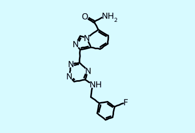 NC(=O)c1cccc2c(-c3nncc(NCc4cccc(F)c4)n3)ncn12